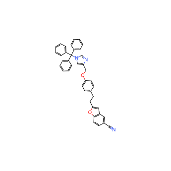 N#Cc1ccc2oc(CCc3ccc(OCc4cn(C(c5ccccc5)(c5ccccc5)c5ccccc5)cn4)cc3)cc2c1